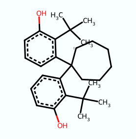 CC(C)(C)c1c(O)cccc1C1(c2cccc(O)c2C(C)(C)C)[C]CCCCC1